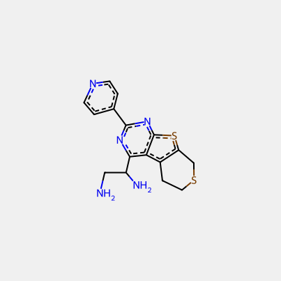 NCC(N)c1nc(-c2ccncc2)nc2sc3c(c12)CCSC3